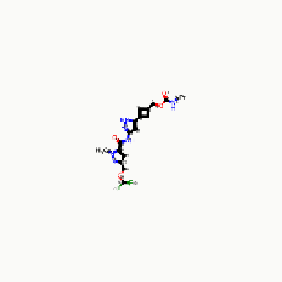 CC(C)NC(=O)OCC1CC(c2cc(NC(=O)c3cc(COC(F)F)nn3C)n[nH]2)C1